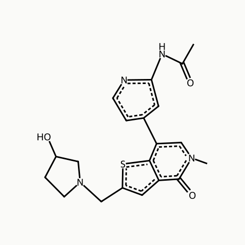 CC(=O)Nc1cc(-c2cn(C)c(=O)c3cc(CN4CCC(O)C4)sc23)ccn1